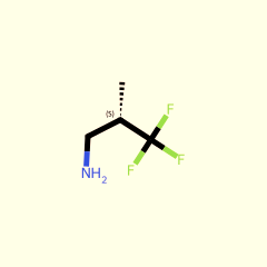 C[C@@H](CN)C(F)(F)F